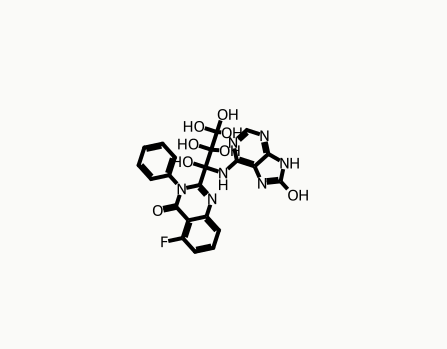 O=c1c2c(F)cccc2nc(C(O)(Nc2ncnc3[nH]c(O)nc23)C(O)(O)C(O)(O)O)n1-c1ccccc1